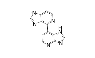 C1=Nc2c(ccnc2-c2ccnc3nc[nH]c23)[N]1